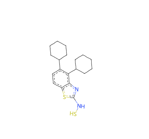 SNc1nc2c(C3CCCCC3)c(C3CCCCC3)ccc2s1